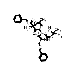 C=C(C)C[C@H](NC(=O)[C@H](COCc1ccccc1)NC(=O)OC(C)(C)C)C(=O)C(C)(C)C(=O)OCc1ccccc1